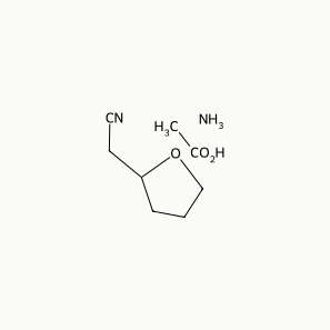 CC(=O)O.N.N#CCC1CCCO1